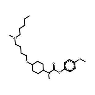 CCCCC[As](C)CCCCOC1CCC(N(C)C(=O)Oc2ccc(OC)cc2)CC1